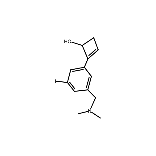 CN(C)Cc1cc(I)cc(C2=CCC2O)c1